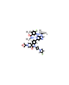 CNC(=O)c1cc(Nc2nc(-c3ccc4c(c3)N([C@H]3C[C@@H](N5CC[C@H](F)C5)C3)C(=O)C43CCN(C4COC4)CC3)cc3ncn(C(C)C)c23)c(F)cc1C